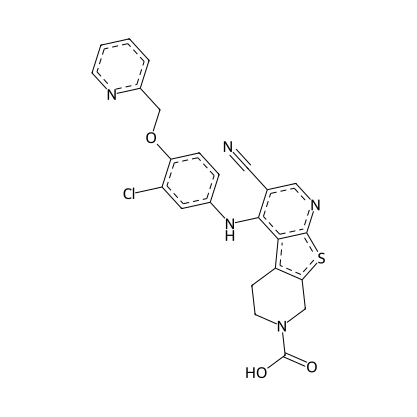 N#Cc1cnc2sc3c(c2c1Nc1ccc(OCc2ccccn2)c(Cl)c1)CCN(C(=O)O)C3